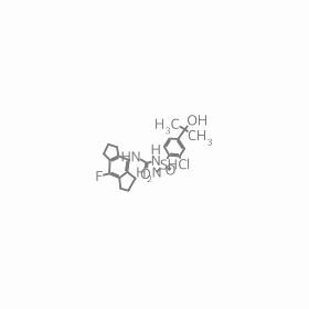 CC(C)(O)c1ccc([SH](N)(=O)NC(=O)Nc2c3c(c(F)c4c2CCC4)CCC3)c(Cl)c1